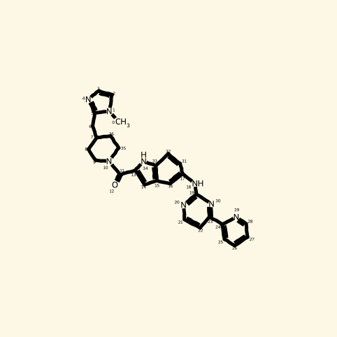 Cn1ccnc1CC1CCN(C(=O)c2cc3cc(Nc4nccc(-c5ccccn5)n4)ccc3[nH]2)CC1